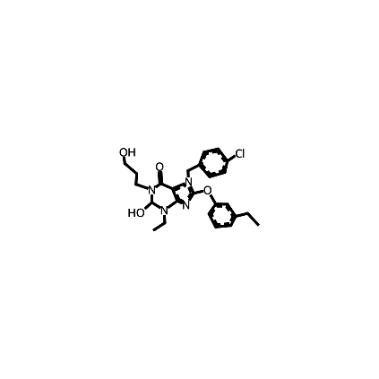 CCc1cccc(Oc2nc3c(n2Cc2ccc(Cl)cc2)C(=O)N(CCCO)C(O)N3CC)c1